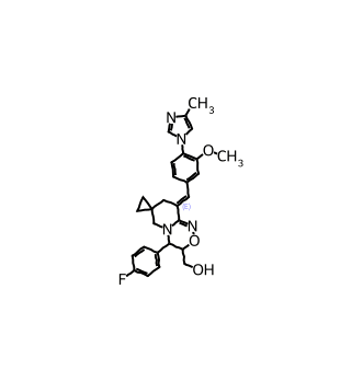 COc1cc(/C=C2\CC3(CC3)CN3C2=NOC(CO)C3c2ccc(F)cc2)ccc1-n1cnc(C)c1